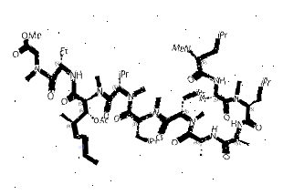 C/C=C/C[C@@H](C)[C@@H](OC(C)=O)[C@@H](C(=O)N[C@@H](CC)C(=O)N(C)CC(=O)OC)N(C)C(=O)[C@H](C(C)C)N(C)C(=O)[C@H](CC(C)C)N(C)C(=O)[C@H](CC(C)C)N(C)C(=O)[C@@H](C)NC(=O)[C@H](C)NC(=O)[C@H](CC(C)C)N(C)C(=O)[C@@H](NC(=O)[C@H](CC(C)C)NC)C(C)C